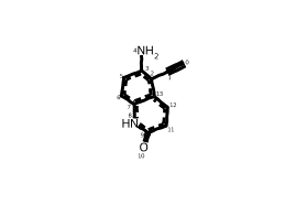 C#Cc1c(N)ccc2[nH]c(=O)ccc12